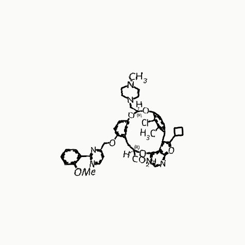 COc1ccccc1-c1nccc(COc2ccc3cc2C[C@H](C(=O)O)Oc2ncnc4oc(C5CCC5)c(c24)-c2ccc(c(Cl)c2C)O[C@H](CN2CCN(C)CC2)O3)n1